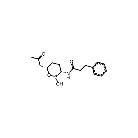 CC(=O)C[C@@H]1CC[C@H](NC(=O)CCc2ccccc2)B(O)O1